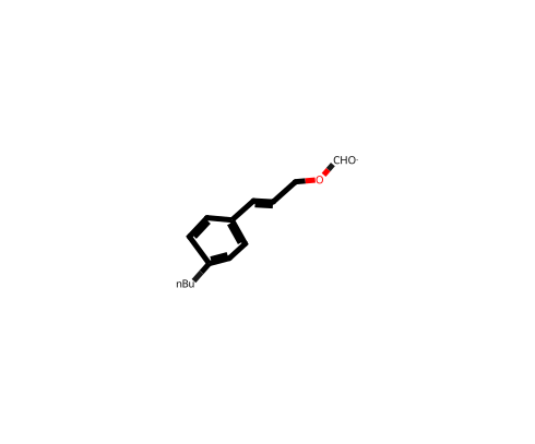 CCCCc1ccc(/C=C/CO[C]=O)cc1